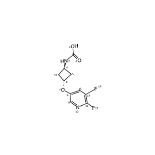 O=C(O)N[C@H]1C[C@H](Oc2cnc(F)c(F)c2)C1